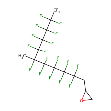 CC(F)(C(F)(F)C(F)(F)C(F)(F)C(F)(F)CC1CO1)C(F)(F)C(F)(F)C(F)(F)C(F)(F)C(F)(F)F